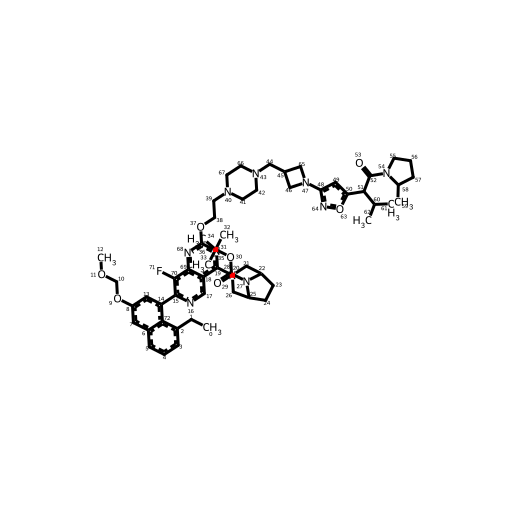 CCc1cccc2cc(OCOC)cc(-c3ncc4c(N5CC6CCC(C5)N6C(=O)OC(C)(C)C)nc(OCCN5CCN(CC6CN(c7cc(C(C(=O)N8CCCC8C)C(C)C)on7)C6)CC5)nc4c3F)c12